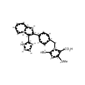 CCCCc1nc(SC)c(C(=O)O)n1Cc1ccc(-c2nc3ccccn3c2-c2nnn[nH]2)cc1